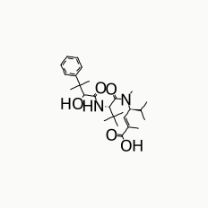 C/C(=C\[C@H](C(C)C)N(C)C(=O)[C@@H](NC(=O)C(O)C(C)(C)c1ccccc1)C(C)(C)C)C(=O)O